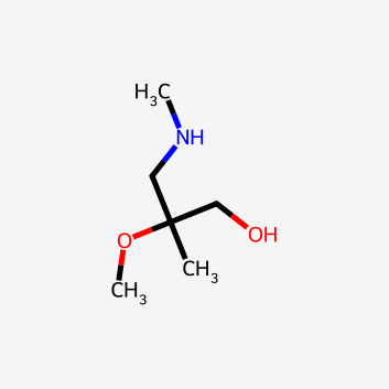 CNCC(C)(CO)OC